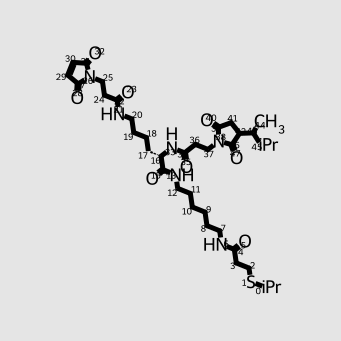 CC(C)SCCC(=O)NCCCCCCNC(=O)[C@H](CCCCNC(=O)CCN1C(=O)C=CC1=O)NC(=O)CCN1C(=O)CC(C(C)C(C)C)C1=O